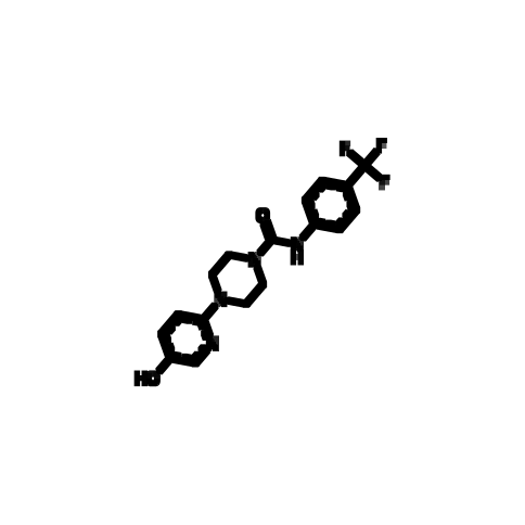 O=C(Nc1ccc(C(F)(F)F)cc1)N1CCN(c2ccc(O)cn2)CC1